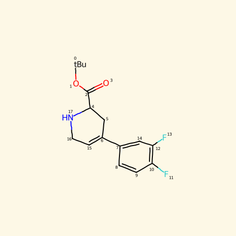 CC(C)(C)OC(=O)C1CC(c2ccc(F)c(F)c2)=CCN1